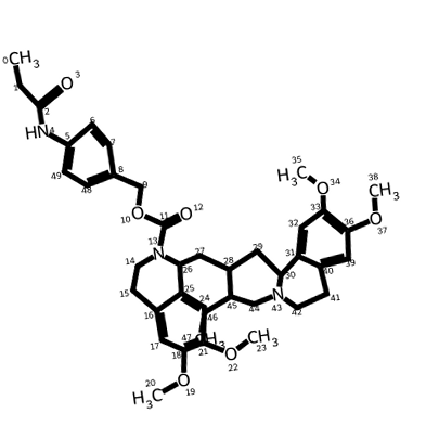 CCC(=O)Nc1ccc(COC(=O)N2CCc3cc(OC)c(OC)cc3C2CC2CC3c4cc(OC)c(OC)cc4CCN3CC2CC)cc1